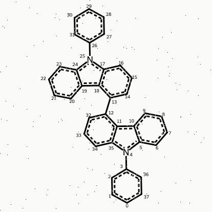 c1ccc(-n2c3ccccc3c3c(-c4cccc5c4c4ccccc4n5-c4ccccc4)cccc32)cc1